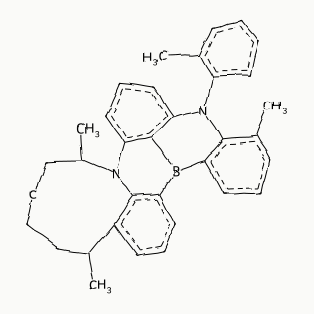 Cc1ccccc1N1c2cccc3c2B(c2cccc(C)c21)c1cccc2c1N3C(C)CCCCC2C